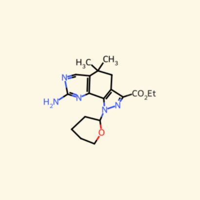 CCOC(=O)c1nn(C2CCCCO2)c2c1CC(C)(C)c1cnc(N)nc1-2